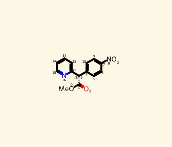 COC(=O)[C@@H](c1ccc([N+](=O)[O-])cc1)c1ccccn1